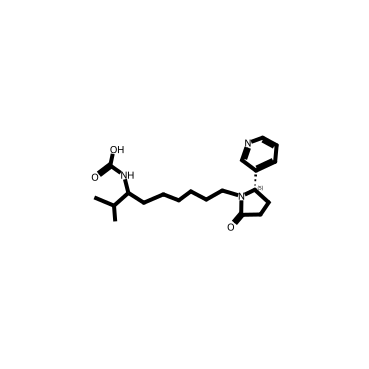 CC(C)C(CCCCCCN1C(=O)CC[C@H]1c1cccnc1)NC(=O)O